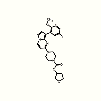 COc1ncc(F)cc1-c1cnn2ccc(N3CCN(C(=O)OC4CCOC4)CC3)nc12